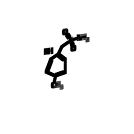 Cc1ccc(CS(N)(=O)=O)cc1.[KH]